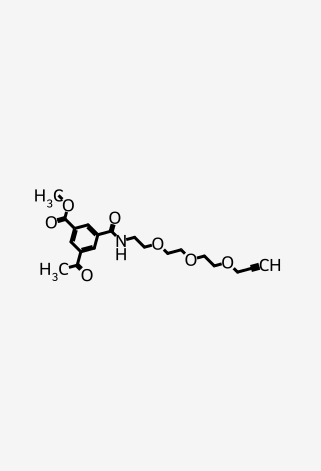 C#CCOCCOCCOCCNC(=O)c1cc(C(C)=O)cc(C(=O)OC)c1